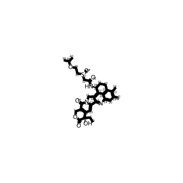 CC[C@@]1(O)C(=O)OCc2c1cc1n(c2=O)Cc2c-1nc1cc(F)c(C)c3c1c2[C@@H](NC(=O)C[S+]([O-])CCOC(C)C)CC3